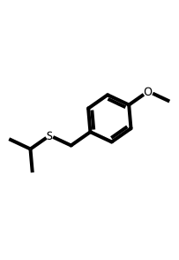 COc1ccc(CSC(C)C)cc1